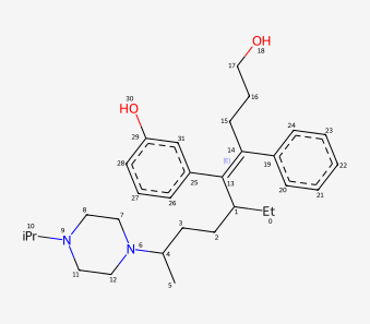 CCC(CCC(C)N1CCN(C(C)C)CC1)/C(=C(/CCCO)c1ccccc1)c1cccc(O)c1